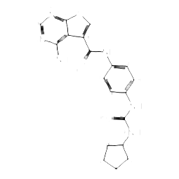 Nc1ncnc2scc(C(=O)Nc3ccc(NC(=O)NC4CCCC4)cc3)c12